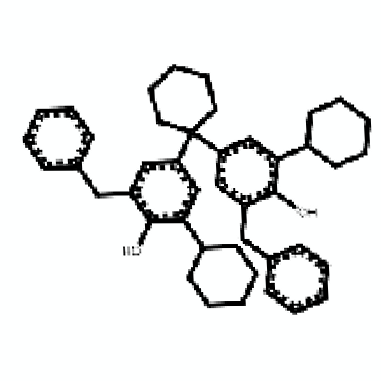 Oc1c(Cc2ccccc2)cc(C2(c3cc(Cc4ccccc4)c(O)c(C4CCCCC4)c3)CCCCC2)cc1C1CCCCC1